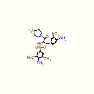 Cc1cc(S(=O)(=O)NC(Cc2ccc(N)c([N+](=O)[O-])c2)C(=O)N2CCC(C)CC2)cc(C)c1N